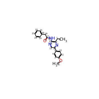 CCc1nc(-c2ccc(OC)cc2)cnc1NC(=O)Cc1ccccc1